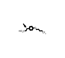 CC#C[C@@H](CC(=O)O)c1ccc(OCCCCC(F)(F)F)cc1